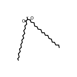 [CH2]C(C(=O)CCCCCCCCCCCCCCCCC)C(=O)CCCCCCCCCCCCCCCCC